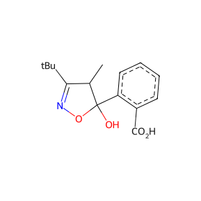 CC1C(C(C)(C)C)=NOC1(O)c1ccccc1C(=O)O